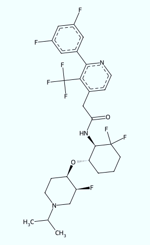 CC(C)N1CC[C@@H](O[C@H]2CCCC(F)(F)[C@@H]2NC(=O)Cc2ccnc(-c3cc(F)cc(F)c3)c2C(F)(F)F)[C@@H](F)C1